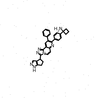 NC1(c2ccc(-c3nc4ccn5c(C6CCc7[nH]ncc76)nnc5c4cc3-c3ccccc3)cc2)CCC1